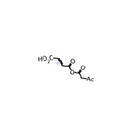 CC(=O)CC(=O)OC(=O)/C=C/C(=O)O